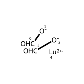 O=C[O-].O=C[O-].[Lu+2]